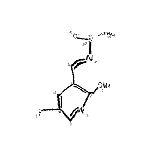 COc1ncc(F)cc1C=N[S@+]([O-])C(C)(C)C